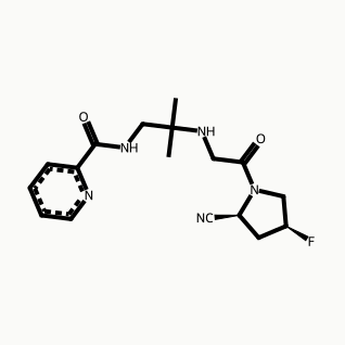 CC(C)(CNC(=O)c1ccccn1)NCC(=O)N1C[C@@H](F)C[C@H]1C#N